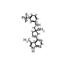 Cc1c[nH]c2ncnc(N3CCC(N)(CNc4cccc(C(F)(F)F)c4)C3)c12